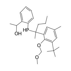 CCCC(C)(Pc1ccccc1C(C)O)c1cc(C)cc(C(C)(C)C)c1OCOC